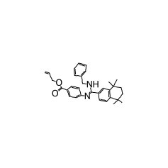 C=CCOC(=O)c1ccc(N=C(NCc2ccccc2)c2ccc3c(c2)C(C)(C)CCC3(C)C)cc1